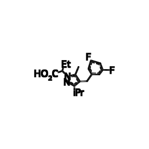 CCC(C(=O)O)n1nc(C(C)C)c(Cc2cc(F)cc(F)c2)c1C